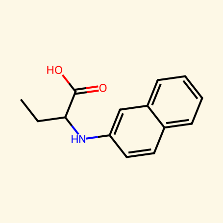 CCC(Nc1ccc2ccccc2c1)C(=O)O